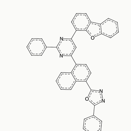 c1ccc(-c2nc(-c3ccc(-c4nnc(-c5ccccc5)o4)c4ccccc34)cc(-c3cccc4c3oc3ccccc34)n2)cc1